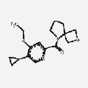 O=C(c1cc(OCC(F)(F)F)c(C2CC2)cn1)N1CCCC12COC2